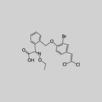 CCON=C(C(=O)O)c1ccccc1COc1ccc(C=C(Cl)Cl)cc1Br